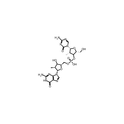 C[C@H]1C(OP(=O)(O)OC[C@H]2O[C@@H](n3cnc4c(=O)[nH]c(N)nc43)[C@@H](C)C2O)[C@@H](CO)O[C@H]1n1cnc(N)nc1=O